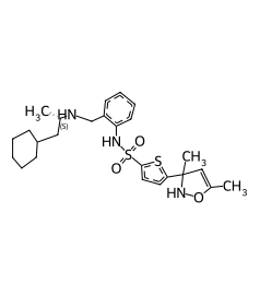 CC1=CC(C)(c2ccc(S(=O)(=O)Nc3ccccc3CN[C@@H](C)CC3CCCCC3)s2)NO1